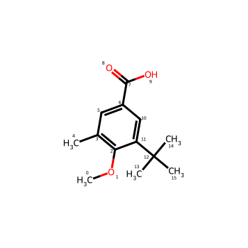 COc1c(C)cc(C(=O)O)cc1C(C)(C)C